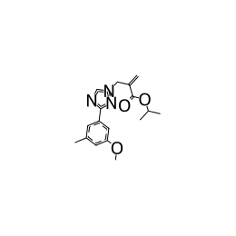 C=C(Cn1cnc(-c2cc(C)cc(OC)c2)n1)C(=O)OC(C)C